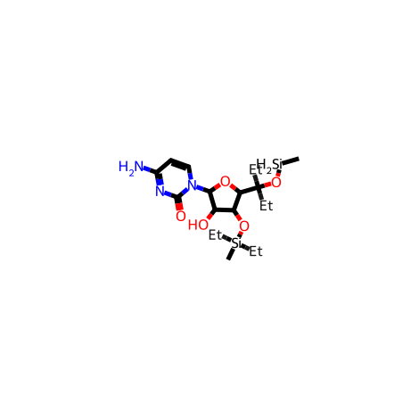 CCC(CC)(O[SiH2]C)C1OC(n2ccc(N)nc2=O)C(O)C1O[Si](C)(CC)CC